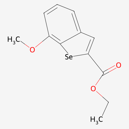 CCOC(=O)c1cc2cccc(OC)c2[se]1